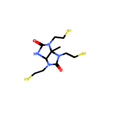 CC12C(NC(=O)N1CCS)N(CCS)C(=O)N2CCS